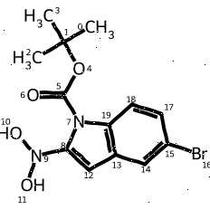 CC(C)(C)OC(=O)n1c(N(O)O)cc2cc(Br)ccc21